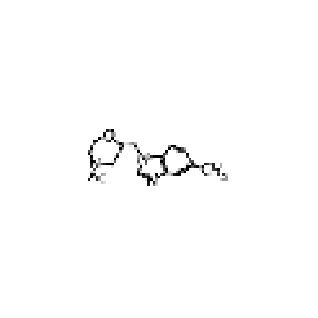 CC(=O)N1CCOC(Cn2cnc3cc(C)ccc32)C1